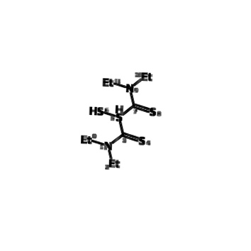 CCN(CC)C(=S)[SH](S)C(=S)N(CC)CC